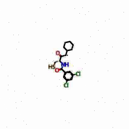 O=C(N[C@H](CS)C(=O)[CH]C1CCCCC1)c1cc(Cl)cc(Cl)c1